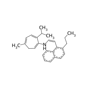 CCCc1ccc2ccccc2c1/C=C\NC1=CCC(C)=CC=C1C(C)C